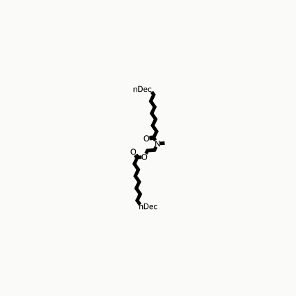 CCCCCCCCCCCCCCCCCC(=O)OCCN(C)C(=O)CCCCCCCCCCCCCCCCC